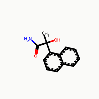 CC(O)(C(N)=O)c1cccc2ccccc12